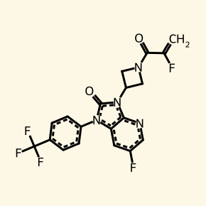 C=C(F)C(=O)N1CC(n2c(=O)n(-c3ccc(C(F)(F)F)cc3)c3cc(F)cnc32)C1